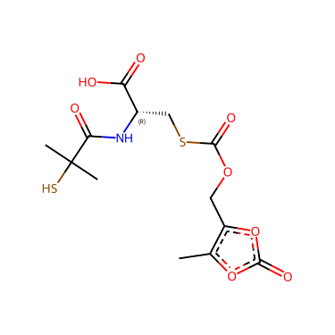 Cc1oc(=O)oc1COC(=O)SC[C@H](NC(=O)C(C)(C)S)C(=O)O